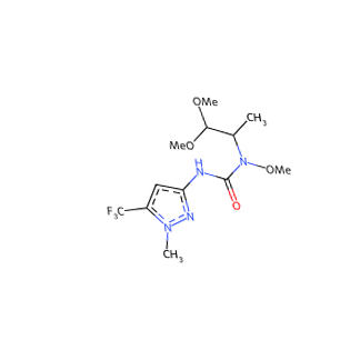 COC(OC)C(C)N(OC)C(=O)Nc1cc(C(F)(F)F)n(C)n1